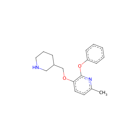 Cc1ccc(OCC2CCCNC2)c(Oc2ccccc2)n1